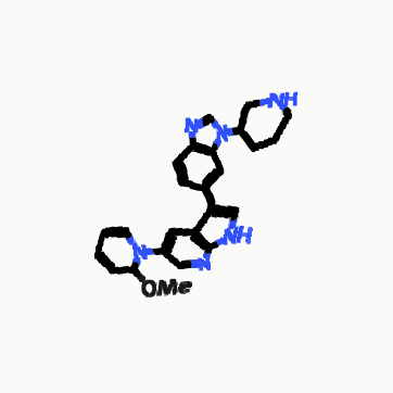 COC1C=CC=CN1c1cnc2[nH]cc(-c3ccc4ncn(C5CCCNC5)c4c3)c2c1